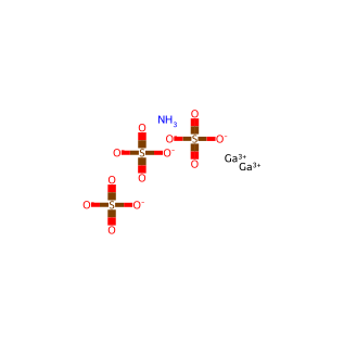 N.O=S(=O)([O-])[O-].O=S(=O)([O-])[O-].O=S(=O)([O-])[O-].[Ga+3].[Ga+3]